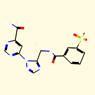 C[C@H](NC(=O)c1cccc(S(=O)(=O)C(F)(F)F)c1)c1ncnn1-c1cc(C(N)=O)ncn1